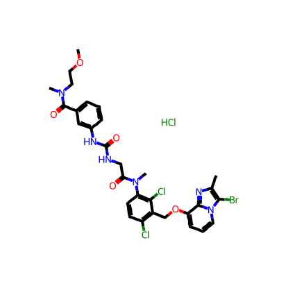 COCCN(C)C(=O)c1cccc(NC(=O)NCC(=O)N(C)c2ccc(Cl)c(COc3cccn4c(Br)c(C)nc34)c2Cl)c1.Cl